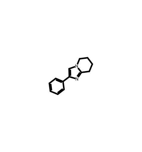 c1ccc(-c2cn3c(n2)CCCC3)cc1